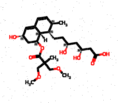 COCC(C)(COC)C(=O)O[C@H]1C[C@H](O)C=C2C=C[C@@H](C)[C@H](CC[C@@H](O)C[C@@H](O)CC(=O)O)[C@H]21